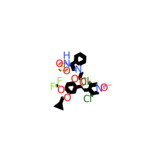 CS(=O)(=O)Nc1cn(CC(=O)O[C@@H](Cc2c(Cl)c[n+]([O-])cc2Cl)c2ccc(OC(F)F)c(OCC3CC3)c2)c2ccccc12